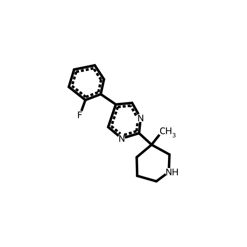 CC1(c2ncc(-c3ccccc3F)cn2)CCCNC1